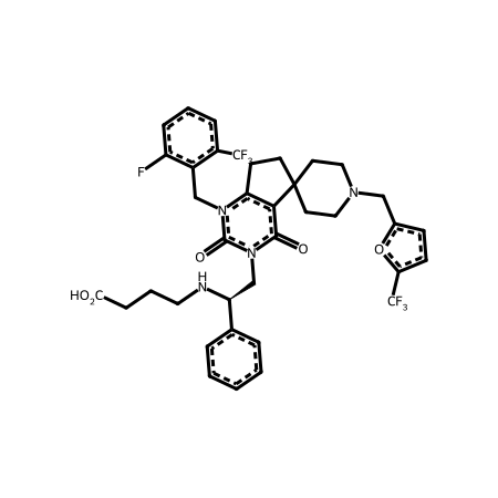 O=C(O)CCCN[C@@H](Cn1c(=O)c2c(n(Cc3c(F)cccc3C(F)(F)F)c1=O)CCC21CCN(Cc2ccc(C(F)(F)F)o2)CC1)c1ccccc1